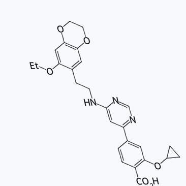 CCOc1cc2c(cc1CCNc1cc(-c3ccc(C(=O)O)c(OC4CC4)c3)ncn1)OCCO2